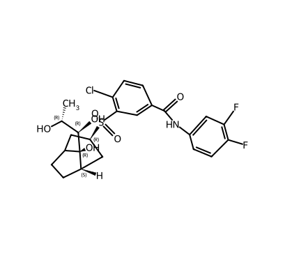 C[C@@H](O)[C@@H](O)[C@@]1(O)C2CC[C@H]1C[C@H](S(=O)(=O)c1cc(C(=O)Nc3ccc(F)c(F)c3)ccc1Cl)C2